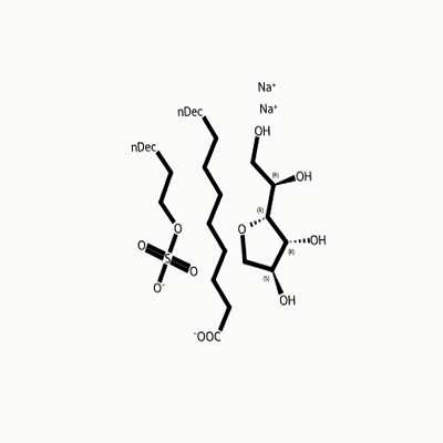 CCCCCCCCCCCCCCCCCC(=O)[O-].CCCCCCCCCCCCOS(=O)(=O)[O-].OC[C@@H](O)[C@H]1OC[C@H](O)[C@H]1O.[Na+].[Na+]